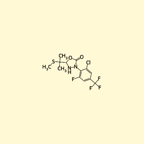 CSC(C)(C)C1NN(c2c(F)cc(C(F)(F)F)cc2Cl)C(=O)O1